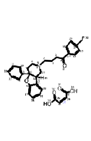 O=C(CCCN1CC[C@@]2(c3ccccc3)Oc3ccccc3[C@H]2C1)c1ccc(F)cc1.O=C(O)/C=C\C(=O)O